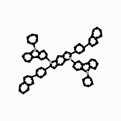 c1ccc(-n2c3ccccc3c3cc(-n4c(-c5ccc(-c6ccc7ccccc7c6)cc5)cc5cc6c(cc(-c7ccc(-c8ccc9ccccc9c8)cc7)n6-c6ccc7c(c6)c6ccccc6n7-c6ccccc6)cc54)ccc32)cc1